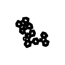 c1ccc2c(c1)-c1ccccc1C21c2ccccc2-c2c(-n3c4ccccc4c4c5c(-c6ccc(-n7c8ccccc8c8ccccc87)cc6)cccc5oc43)cccc21